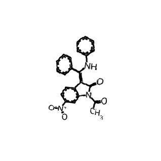 CC(=O)N1C(=O)/C(=C(\Nc2ccccc2)c2ccccc2)c2ccc([N+](=O)[O-])cc21